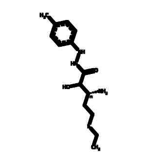 CCSCC[C@@H](N)C(O)C(=O)NNc1ccc(C)cc1